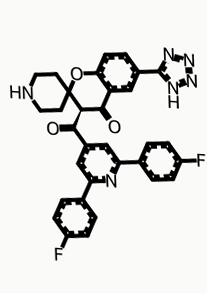 O=C(c1cc(-c2ccc(F)cc2)nc(-c2ccc(F)cc2)c1)[C@@H]1C(=O)c2cc(-c3nnn[nH]3)ccc2OC12CCNCC2